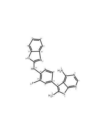 Cc1sc2ncnc(N)c2c1-c1ccc(Nc2nc3ccccc3o2)c(F)c1